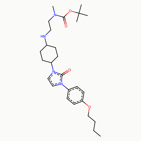 CCCCOc1ccc(-n2ccn(C3CCC(NCCN(C)C(=O)OC(C)(C)C)CC3)c2=O)cc1